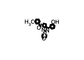 Cc1cccc(C(=O)N2CCc3c(-c4cccc(O)c4)nc(N4CCOCC4)nc32)c1